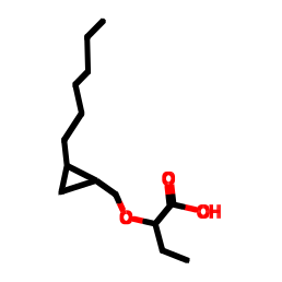 CCCCCCC1CC1COC(CC)C(=O)O